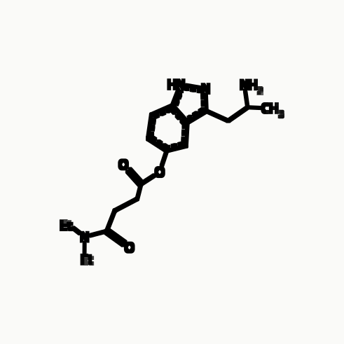 CCN(CC)C(=O)CCC(=O)Oc1ccc2[nH]nc(CC(C)N)c2c1